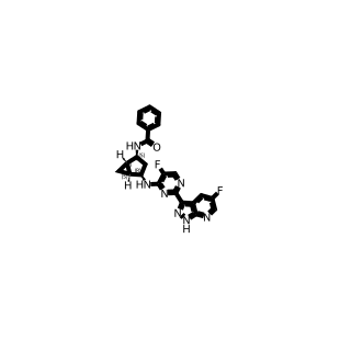 O=C(N[C@H]1C[C@@H](Nc2nc(-c3n[nH]c4ncc(F)cc34)ncc2F)[C@H]2C[C@H]21)c1ccccc1